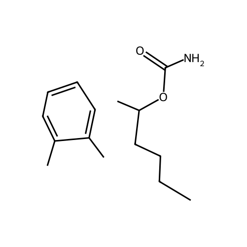 CCCCC(C)OC(N)=O.Cc1ccccc1C